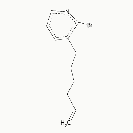 C=CCCCCc1cccnc1Br